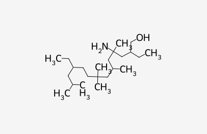 CCC(CCC(C)(C)CC(C)CC(C)(N)CC(CC)CO)CC(C)C